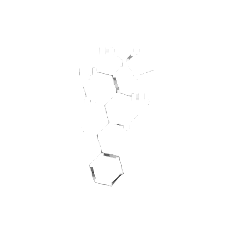 B/C(=C(/B)P(=O)(O)OC)[C@@H](OC)[C@@H](OC)[C@@H](F)c1ccccc1